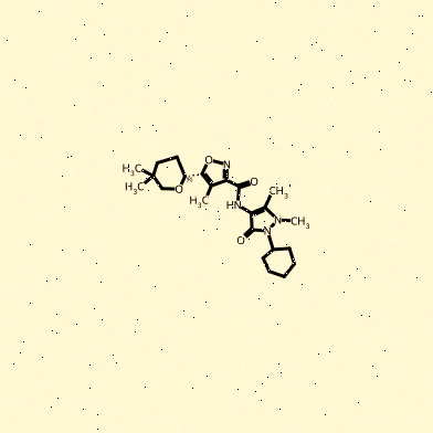 Cc1c(C(=O)Nc2c(C)n(C)n(C3CCCCC3)c2=O)noc1[C@H]1CCC(C)(C)CO1